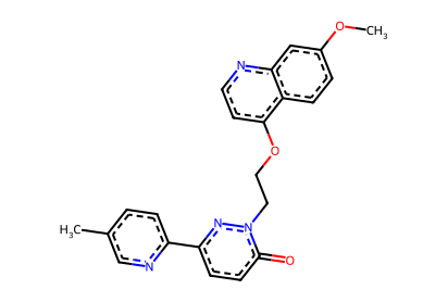 COc1ccc2c(OCCn3nc(-c4ccc(C)cn4)ccc3=O)ccnc2c1